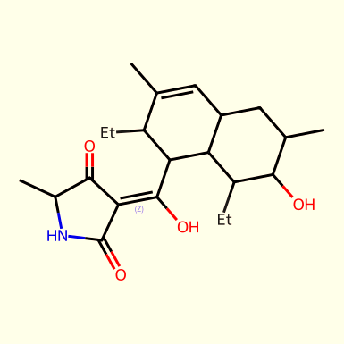 CCC1C(C)=CC2CC(C)C(O)C(CC)C2C1/C(O)=C1/C(=O)NC(C)C1=O